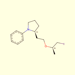 C[C@H](CI)OCC[C@@H]1CCCN1c1ccccc1